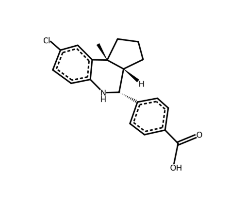 C[C@@]12CCC[C@@H]1[C@H](c1ccc(C(=O)O)cc1)Nc1ccc(Cl)cc12